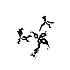 CCCC[N+](CCCC)(CCCC)CCCC.CCCC[N+](CCCC)(CCCC)CCCC.[O-]B([O-])OCCCCCC(c1ccc(Cl)cc1)(c1ccc(Cl)cc1)c1ccc(Cl)cc1